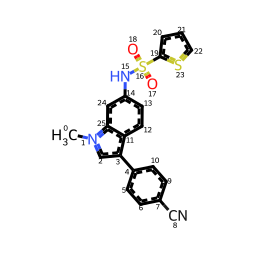 Cn1cc(-c2ccc(C#N)cc2)c2ccc(NS(=O)(=O)c3cccs3)cc21